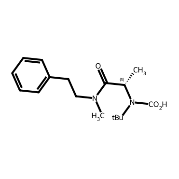 C[C@@H](C(=O)N(C)CCc1ccccc1)N(C(=O)O)C(C)(C)C